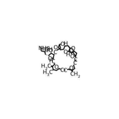 C=C1CC2CCC34CC5OC6C(O3)[C@H]3OC(CCC3O[C@H]6C5O4)CC(=O)CC3[C@H](CC4OC(CCC1O2)CC(C)C4=C)O[C@H](CC(O)CN)[C@@H]3OC